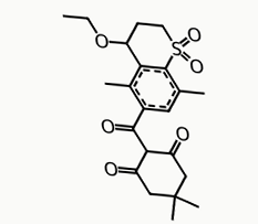 CCOC1CCS(=O)(=O)c2c(C)cc(C(=O)C3C(=O)CC(C)(C)CC3=O)c(C)c21